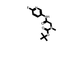 CN(CC(=O)Nc1ccc(F)nc1)C(=O)OC(C)(C)C